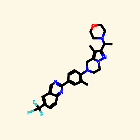 Cc1cc(-c2ncc3cc(C(F)(F)F)ccc3n2)ccc1N1CCn2nc(C(C)N3CCOCC3)c(C)c2C1